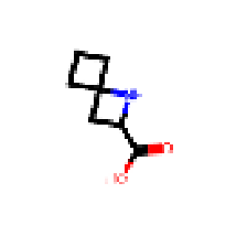 O=C(O)C1CC2(CCC2)N1